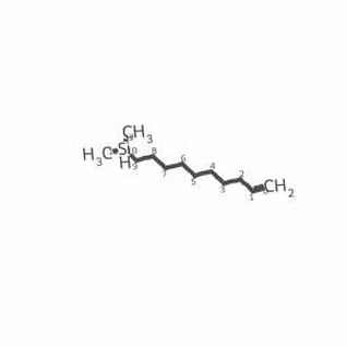 C=CCCCCCCCC[SiH](C)C